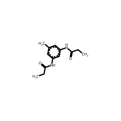 [CH2]c1cc(NC(=O)CC)cc(NC(=O)CC)c1